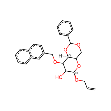 C=CCO[C@@H]1OC2COC(c3ccccc3)O[C@@H]2C(OCc2ccc3ccccc3c2)C1O